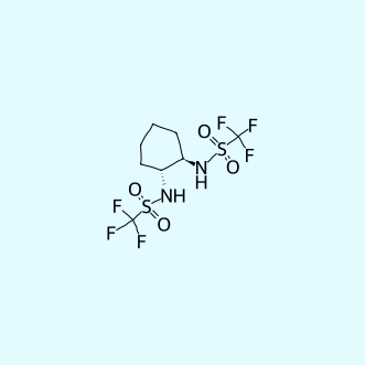 O=S(=O)(N[C@@H]1CCCC[C@H]1NS(=O)(=O)C(F)(F)F)C(F)(F)F